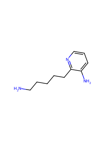 NCCCCCc1ncccc1N